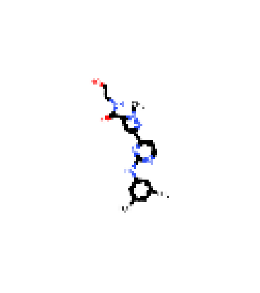 Cc1cc(C)cc(Nc2nccc(-c3cc(C(=O)NCCO)n(C)n3)n2)c1